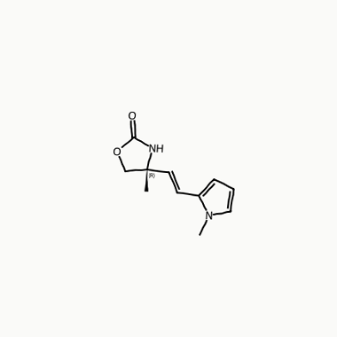 Cn1cccc1C=C[C@]1(C)COC(=O)N1